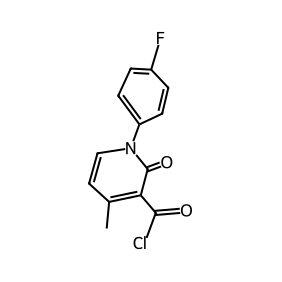 Cc1ccn(-c2ccc(F)cc2)c(=O)c1C(=O)Cl